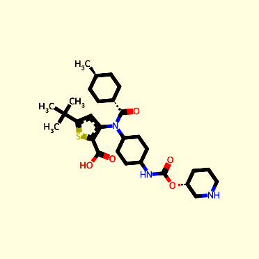 CC(C)(C)c1cc(N(C(=O)[C@H]2CC[C@H](C)CC2)C2CCC(NC(=O)O[C@@H]3CCCNC3)CC2)c(C(=O)O)s1